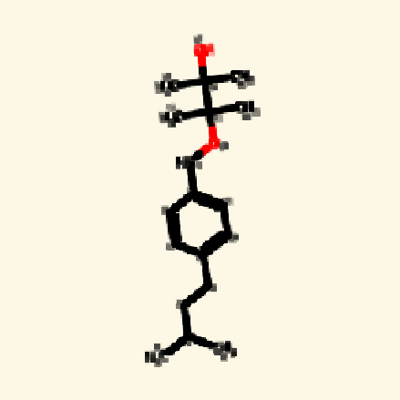 CC(C)CCc1ccc(BOC(C)(C)C(C)(C)O)cc1